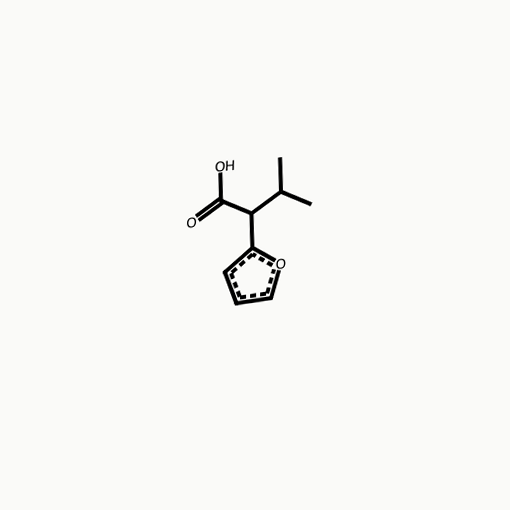 CC(C)C(C(=O)O)c1ccco1